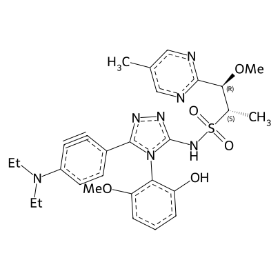 CCN(CC)c1c#cc(-c2nnc(NS(=O)(=O)[C@@H](C)[C@H](OC)c3ncc(C)cn3)n2-c2c(O)cccc2OC)cc1